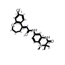 CN1c2ccc(NC(=O)/C=C3\CCCOc4cc(C(F)(F)F)ccc43)cc2NC(=O)C1(C)C